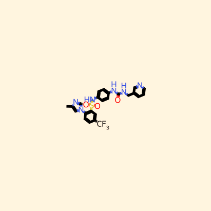 Cc1cn(-c2ccc(C(F)(F)F)cc2S(=O)(=O)Nc2ccc(NC(=O)NCc3cccnc3)cc2)cn1